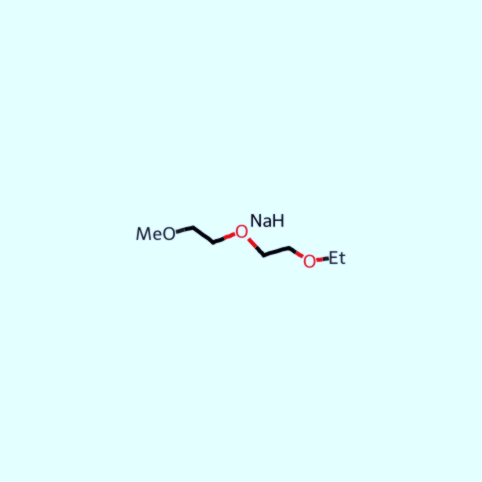 CCOCCOCCOC.[NaH]